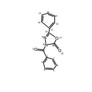 O=C(c1ccccc1)n1nc(-c2ccccc2)oc1=O